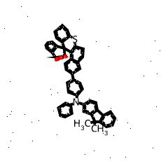 CC1(C)c2ccccc2-c2ccc(N(c3ccccc3)c3ccc(-c4ccc5c6c(ccc5c4)Sc4ccccc4C64c5ccccc5-c5ccccc54)cc3)cc21